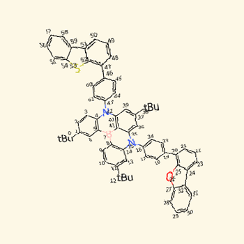 CC(C)(C)c1ccc2c(c1)B1c3ccc(C(C)(C)C)cc3N(c3ccc(-c4cccc5c4oc4ccccc45)cc3)c3cc(C(C)(C)C)cc(c31)N2c1ccc(-c2cccc3c2sc2ccccc23)cc1